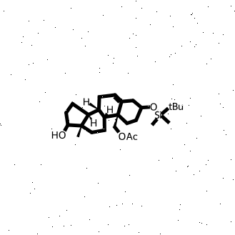 CC(=O)OC[C@]12CCC(O[Si](C)(C)C(C)(C)C)CC1=CC[C@@H]1[C@H]2CC[C@]2(C)C(O)CC[C@@H]12